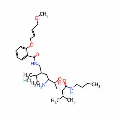 CCCCNC(=O)[C@@H](C[C@H](O)[C@@H](N)C[C@H](CNC(=O)c1ccccc1OCC=CCOC)C(C)C)C(C)C.Cl